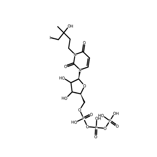 CC(O)(CI)CCn1c(=O)ccn([C@H]2O[C@@H](COP(=O)(O)OP(=O)(O)OP(=O)(O)O)C(O)C2O)c1=O